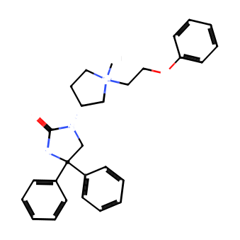 C[N+]1(CCOc2ccccc2)CC[C@@H](N2CC(c3ccccc3)(c3ccccc3)NC2=O)C1